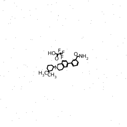 CC1(C)CCCC(N2CCc3cc(-c4cccc(C(N)=O)c4)ccc3C2)C1.O=C(O)C(F)(F)F